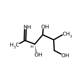 CC(=N)[C@@H](O)C(O)C(C)CO